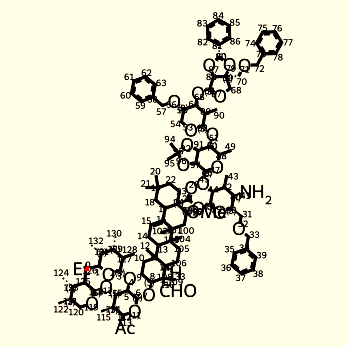 CCC1O[C@@H](OC2[C@H](O[C@H]3CCC4(C)C5CC=C6C7CC(C)(C)CC[C@]7(C(=O)O[C@@H]7O[C@H](COCc8ccccc8)[C@H](N)C(C)C7O[C@@H]7OC(C)[C@H](O[C@@H]8OC[C@@H](OCc9ccccc9)C(O[C@@H]9OC[C@]%10(COCc%11ccccc%11)O[C@@H](c%11ccccc%11)OC9%10)C8C)C8OC(C)(C)OC87)[C@H](OC)CC6(C)C5(C)CC[C@H]4C3(C)C=O)OC(C(C)=O)[C@@H](C)[C@@H]2O[C@@H]2OC[C@@H](C)[C@H](C)C2C)C(C)[C@@H](C)[C@H]1C